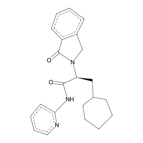 O=C(Nc1ccccn1)[C@H](CC1CCCCC1)N1Cc2ccccc2C1=O